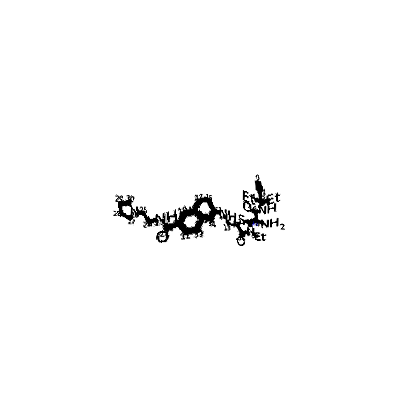 C#CC(CC)(CC)NC(=O)/C(N)=C1\S[C@H](CNc2ccc3cc(C(=O)NCCN4CCCC4)ccc3c2)C(=O)N1CC